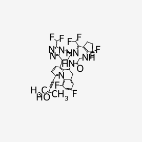 CC(C)(O)C#Cc1ccc(-c2cccn3c(C(F)F)nnc23)c(C(Cc2cc(F)cc(F)c2)NC(=O)CNC2=C(C(=N)C(F)F)CCC2(F)F)n1